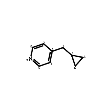 [c]1cc(CC2CC2)ccn1